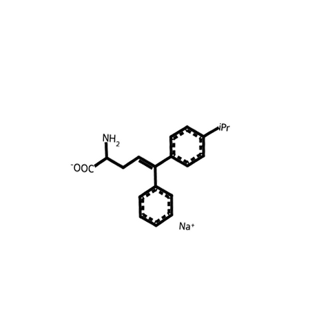 CC(C)c1ccc(C(=CCC(N)C(=O)[O-])c2ccccc2)cc1.[Na+]